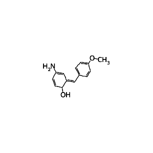 COc1ccc(C=C2C=C(N)C=CC2O)cc1